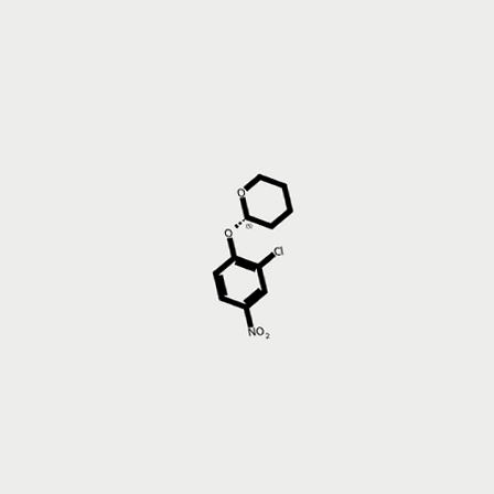 O=[N+]([O-])c1ccc(O[C@H]2CCCCO2)c(Cl)c1